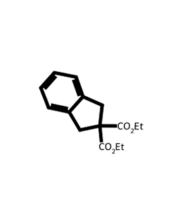 CCOC(=O)C1(C(=O)OCC)Cc2ccccc2C1